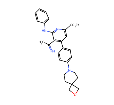 CCOC(=O)c1cc(-c2ccc(N3CCC4(CC3)COC4)cc2)c(C(C)=N)c(Nc2ccccc2)n1